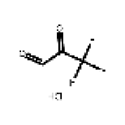 Cl.O=CC(=O)C(F)(F)F